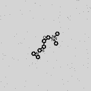 c1ccc(-c2nc(-c3ccccc3)nc(-c3ccc4oc5ccc(-c6ccc7sc8cc(-n9c%10ccccc%10c%10ccccc%109)ccc8c7c6)cc5c4c3)n2)cc1